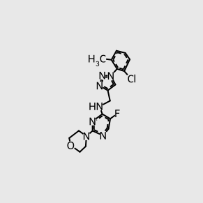 Cc1cccc(Cl)c1-n1cc(CNc2nc(N3CCOCC3)ncc2F)nn1